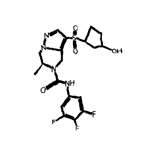 C[C@H]1Cn2ncc(S(=O)(=O)C3CCC(O)C3)c2CN1C(=O)Nc1cc(F)c(F)c(F)c1